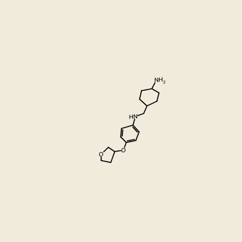 NC1CCC(CNc2ccc(OC3CCOC3)cc2)CC1